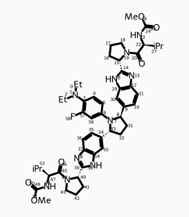 CCN(CC)c1ccc(N2[C@@H](c3ccc4nc([C@@H]5CCCN5C(=O)[C@@H](NC(=O)OC)C(C)C)[nH]c4c3)CC[C@@H]2c2ccc3nc([C@@H]4CCCN4C(=O)[C@@H](NC(=O)OC)C(C)C)[nH]c3c2)cc1F